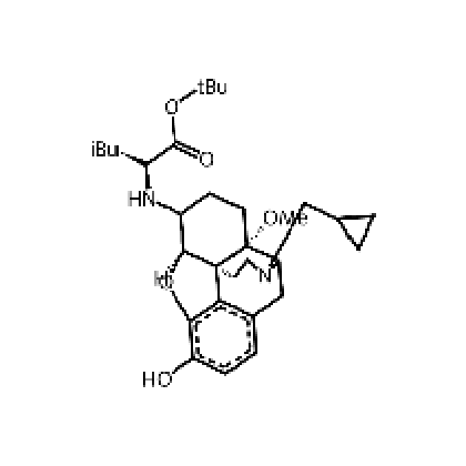 CC[C@H](C)[C@H](NC1CC[C@@]2(OC)C3Cc4ccc(O)c5c4[C@@]2(CCN3CC2CC2)[C@H]1O5)C(=O)OC(C)(C)C